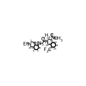 CCN1CCc2c(cccc2NCC(=O)N(CCN(C)C)Cc2ccccc2C(F)(F)F)C1